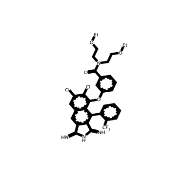 CCOCCN(CCOCC)C(=O)c1cccc(Oc2c(Cl)c(Cl)cc3cc4c(c(-c5ccccc5C(F)(F)F)c23)C(=N)NC4=N)c1